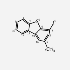 Cc1cc(I)c2sc3ccccc3c2c1